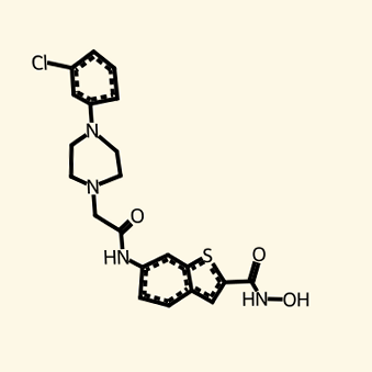 O=C(CN1CCN(c2cccc(Cl)c2)CC1)Nc1ccc2cc(C(=O)NO)sc2c1